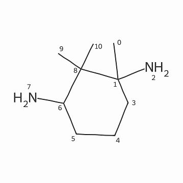 CC1(N)CCCC(N)C1(C)C